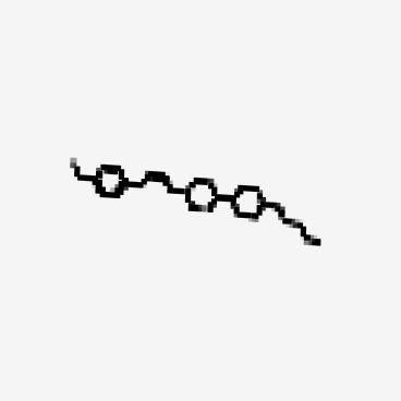 CCCCCC1CCC(C2CCC(C/C=C\Cc3ccc(CC)cc3)CC2)CC1